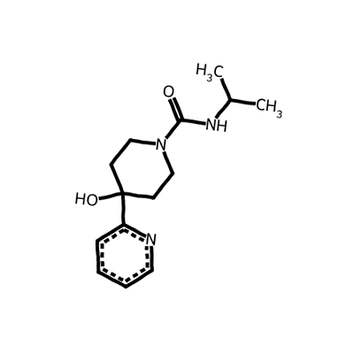 CC(C)NC(=O)N1CCC(O)(c2ccccn2)CC1